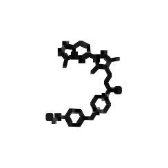 Cc1nn(-c2ccc3nnc(C)n3n2)c(C)c1CCC(=O)N1CCN(Cc2ccc([N+](=O)[O-])cc2)CC1